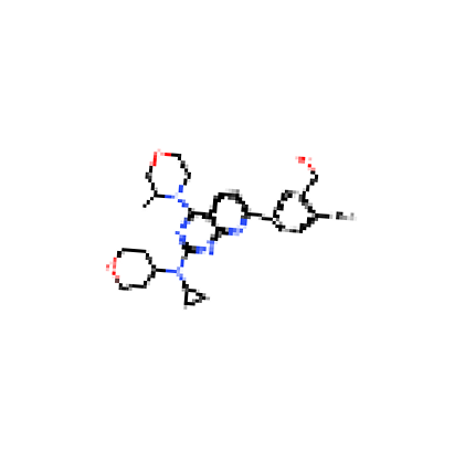 COc1ccc(-c2ccc3c(N4CCOC[C@@H]4C)nc(N(C4CCOCC4)C4CC4)nc3n2)cc1CO